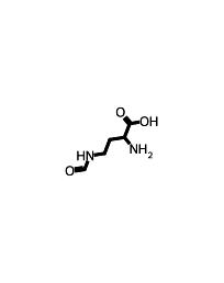 NC(CCNC=O)C(=O)O